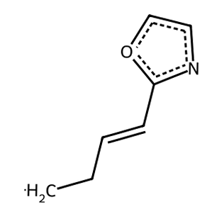 [CH2]CC=Cc1ncco1